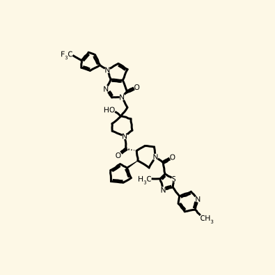 Cc1ccc(-c2nc(C)c(C(=O)N3CC[C@@H](C(=O)N4CCC(O)(Cn5cnc6c(ccn6-c6ccc(C(F)(F)F)cc6)c5=O)CC4)[C@H](c4ccccc4)C3)s2)cn1